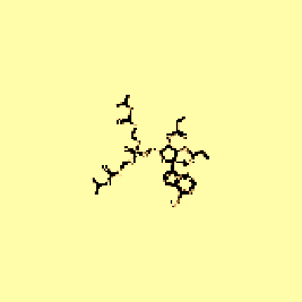 CCC(=O)O[C@H]1[C@@H](OC(=O)CC)[C@](C#N)(c2ccc3c(N)ncnn23)O[C@@H]1COP(=O)(OCOC(=O)OC(C)C)OCOC(=O)OC(C)C